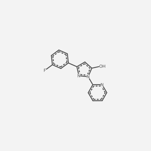 Oc1cc(-c2cccc(F)c2)nn1-c1ccccn1